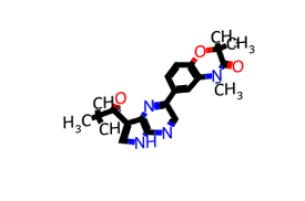 CN1C(=O)C(C)(C)Oc2ccc(-c3cnc4[nH]cc(C(=O)C(C)(C)C)c4n3)cc21